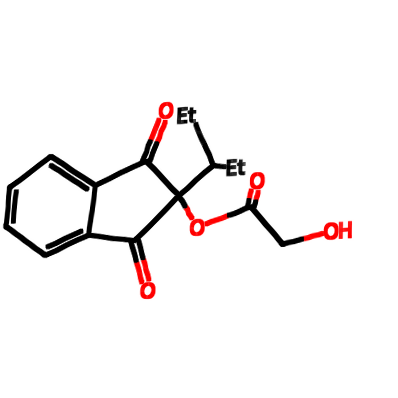 CCC(CC)C1(OC(=O)CO)C(=O)c2ccccc2C1=O